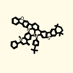 C=C1C=C(c2ccccc2)N(C)c2cc3c(cc21)B1c2c(ccc4c5cc6oc7ccccc7c6cc5n-3c24)-c2cc3c(cc2N1c1ccc(C(C)(C)C)cc1)sc1cc2c(cc13)C(C)(C)CCC2(C)C